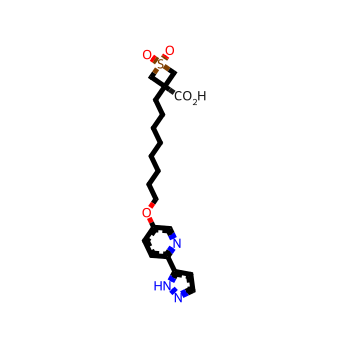 O=C(O)C1(CCCCCCCCOc2ccc(-c3ccn[nH]3)nc2)CS(=O)(=O)C1